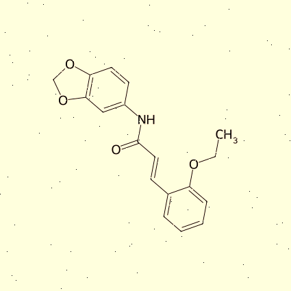 CCOc1ccccc1/C=C/C(=O)Nc1ccc2c(c1)OCO2